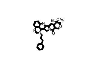 CC[C@@]1(OC(C)=O)C(=O)OCc2c1cc1n(c2=O)Cc2c-1nc1cccc3c1c2N(CCCc1ccccc1)C=N3